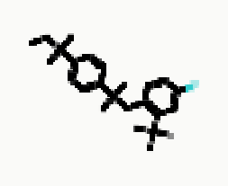 CCC(C)(C)c1ccc(C(C)(C)Cc2ccc(F)cc2C(C)(C)C)cc1